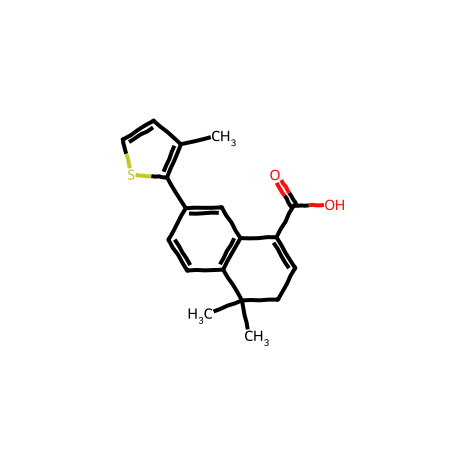 Cc1ccsc1-c1ccc2c(c1)C(C(=O)O)=CCC2(C)C